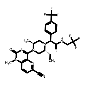 CC[C@@H]1CN(c2nc(=O)n(C)c3ccc(C#N)nc23)[C@@H](C)CN1C(C(=O)NCC(F)(F)F)c1ccc(C(F)(F)F)cc1